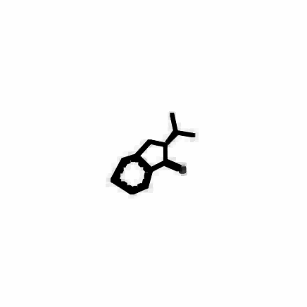 CC(C)[C@@H]1Cc2ccccc2C1=O